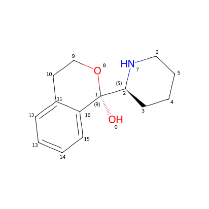 O[C@@]1([C@@H]2CCCCN2)OCCc2ccccc21